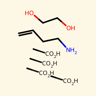 C=CCCN.CC(=O)O.CC(=O)O.CC(=O)O.CC(=O)O.OCCO